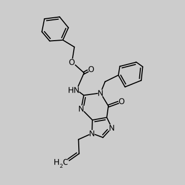 C=CCn1cnc2c(=O)n(Cc3ccccc3)c(NC(=O)OCc3ccccc3)nc21